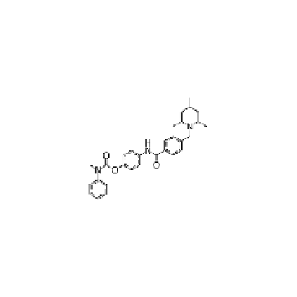 CC1CC(C)N(Cc2ccc(C(=O)Nc3ccc(OC(=O)N(C)c4ccccc4)cc3)cc2)C(C)C1